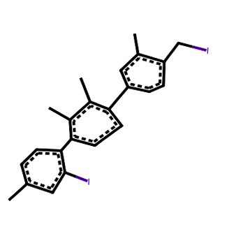 Cc1ccc(-c2ccc(-c3ccc(CI)c(C)c3)c(C)c2C)c(I)c1